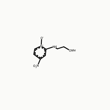 COCCNc1cc([N+](=O)[O-])cc[n+]1[O-]